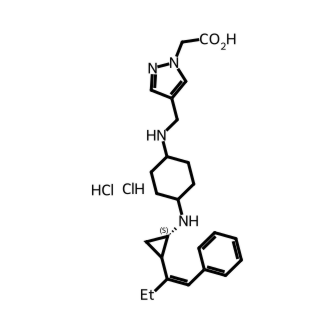 CCC(=Cc1ccccc1)C1C[C@@H]1NC1CCC(NCc2cnn(CC(=O)O)c2)CC1.Cl.Cl